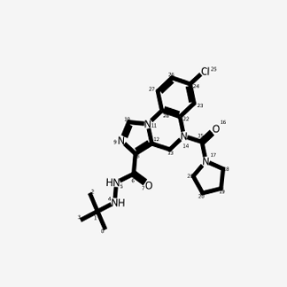 CC(C)(C)NNC(=O)c1ncn2c1CN(C(=O)N1CCCC1)c1cc(Cl)ccc1-2